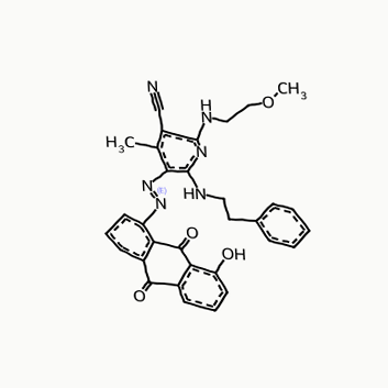 COCCNc1nc(NCCc2ccccc2)c(/N=N/c2cccc3c2C(=O)c2c(O)cccc2C3=O)c(C)c1C#N